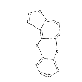 c1ccc2c(c1)Sc1ccc3sccc3c1S2